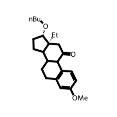 CCCCO[C@H]1CCC2C3CCc4cc(OC)ccc4C3C(=O)C[C@@]21CC